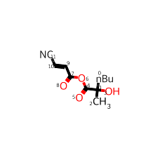 CCCCC(C)(O)C(=O)OC(=O)C=CC#N